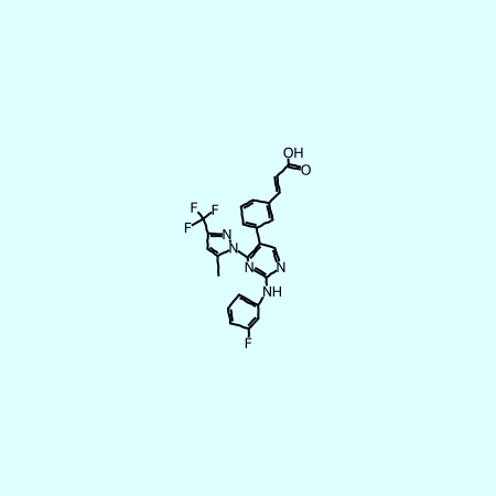 Cc1cc(C(F)(F)F)nn1-c1nc(Nc2cccc(F)c2)ncc1-c1cccc(C=CC(=O)O)c1